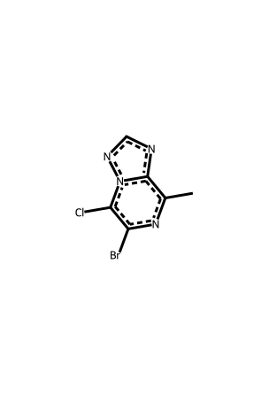 Cc1nc(Br)c(Cl)n2ncnc12